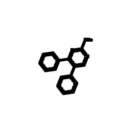 CNc1ncc(-c2ccccc2)c(-c2ccccc2)n1